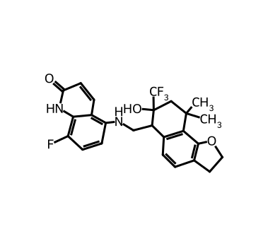 CC1(C)CC(O)(C(F)(F)F)C(CNc2ccc(F)c3[nH]c(=O)ccc23)c2ccc3c(c21)OCC3